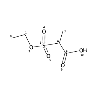 CCOS(=O)(=O)C(C)C(=O)O